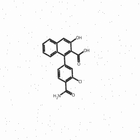 NC(=O)c1ccc(-c2c(C(=O)O)c(O)cc3ccccc23)cc1Cl